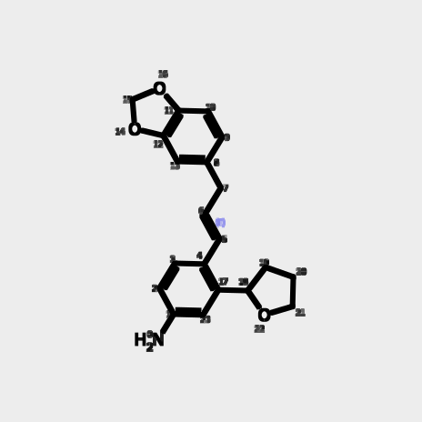 Nc1ccc(/C=C/Cc2ccc3c(c2)OCO3)c(C2CCCO2)c1